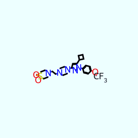 O=S1(=O)CCN(CCN2CCN(c3cc(C4CCC4)n(-c4ccc(OC(F)(F)F)cc4)n3)CC2)CC1